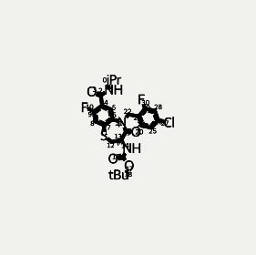 CC(C)NC(=O)c1cc2c(cc1F)SC[C@H](NC(=O)OC(C)(C)C)C(=O)N2Cc1ccc(Cl)cc1F